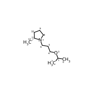 CC(C)OCCCN1CCC[C@H]1C